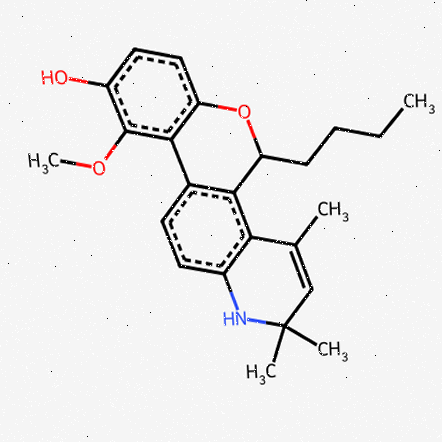 CCCCC1Oc2ccc(O)c(OC)c2-c2ccc3c(c21)C(C)=CC(C)(C)N3